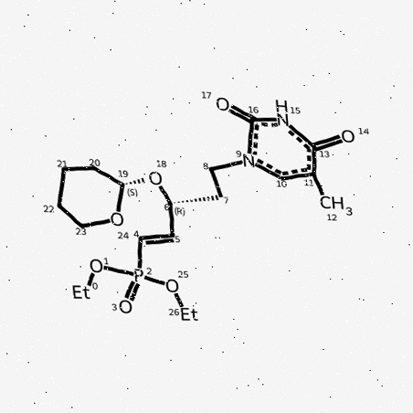 CCOP(=O)(C=C[C@@H](CCn1cc(C)c(=O)[nH]c1=O)O[C@H]1CCCCO1)OCC